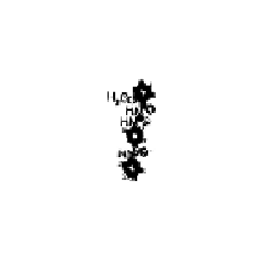 COc1ccccc1C(=O)NC(=S)Nc1ccc([S+]([O-])Nc2ccccc2)cc1